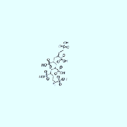 C[C@H](CCC(CC(CC(CC(CCS(=O)(=O)O)S(=O)(=O)O)S(=O)(=O)O)S(=O)(=O)O)S(=O)(=O)O)S(=O)(=O)O